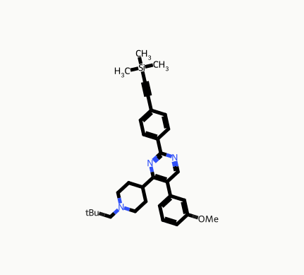 COc1cccc(-c2cnc(-c3ccc(C#C[Si](C)(C)C)cc3)nc2C2CCN(CC(C)(C)C)CC2)c1